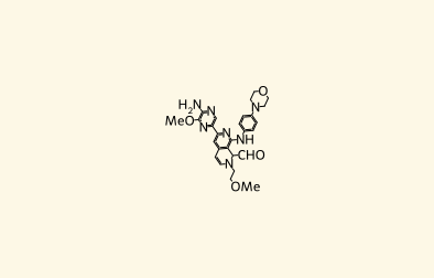 COCCN1C=Cc2cc(-c3cnc(N)c(OC)n3)nc(Nc3ccc(N4CCOCC4)cc3)c2C1C=O